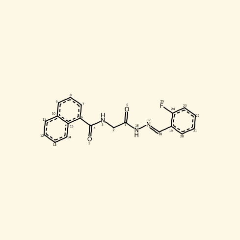 O=C(CNC(=O)c1cccc2ccccc12)NN=Cc1ccccc1F